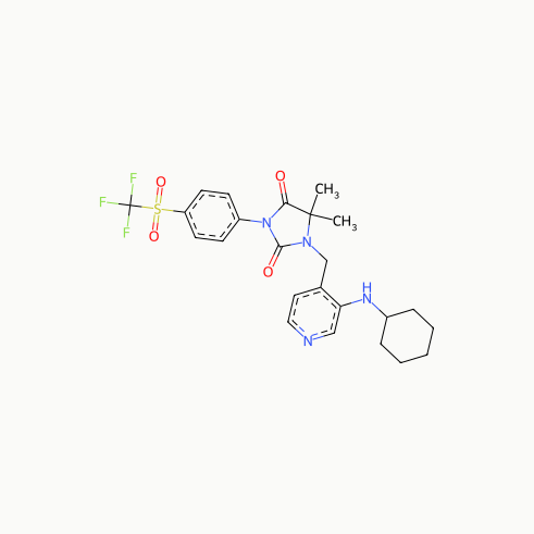 CC1(C)C(=O)N(c2ccc(S(=O)(=O)C(F)(F)F)cc2)C(=O)N1Cc1ccncc1NC1CCCCC1